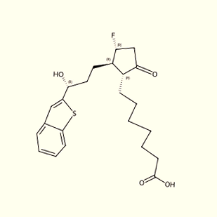 O=C(O)CCCCCC[C@H]1C(=O)C[C@@H](F)[C@@H]1CC[C@@H](O)c1cc2ccccc2s1